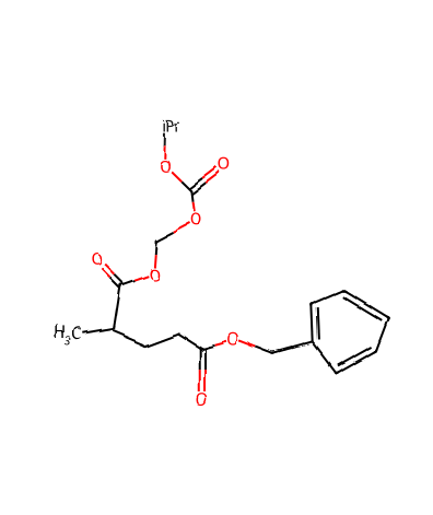 CC(C)OC(=O)OCOC(=O)C(C)CCC(=O)OCc1ccccc1